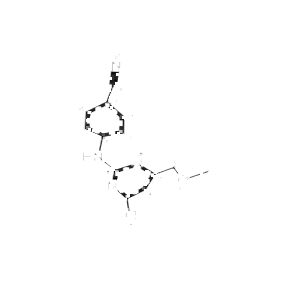 COCc1cc(Cl)nc(Nc2ccc(C#N)cc2)n1